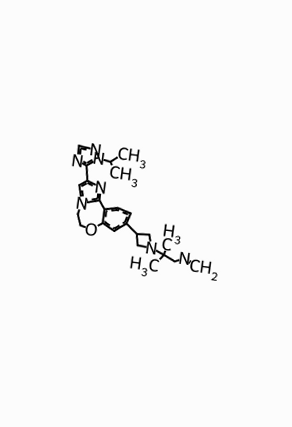 C=NCC(C)(C)N1CC(c2ccc3c(c2)OCCn2cc(-c4ncnn4C(C)C)nc2-3)C1